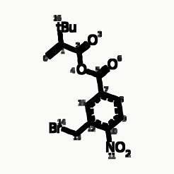 C=C(C(=O)OC(=O)c1ccc([N+](=O)[O-])c(CBr)c1)C(C)(C)C